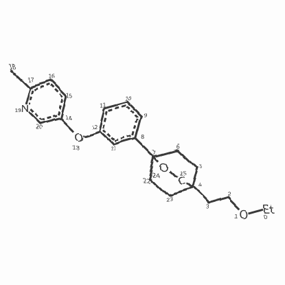 CCOCCC12CCC(c3cccc(Oc4ccc(C)nc4)c3)(CC1)OC2